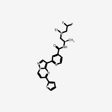 CCN(CC(F)F)C[C@@H](C)NC(=O)c1ccnc(-c2cnn3ccc(-c4cccs4)nc23)c1